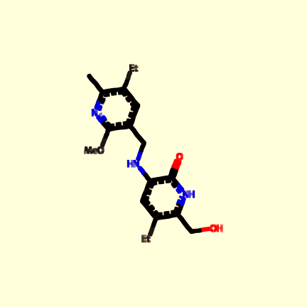 CCc1cc(CNc2cc(CC)c(CO)[nH]c2=O)c(OC)nc1C